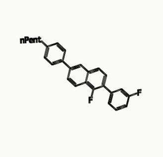 CCCCCc1ccc(-c2ccc3c(F)c(-c4cccc(F)c4)ccc3c2)cc1